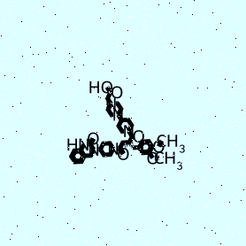 COc1ccc(C[C@H](CC(=O)N2CCC(N3Cc4ccccc4NC3=O)CC2)C(=O)N2CCC(N3CCN(CC(=O)O)CC3)CC2)cc1OC